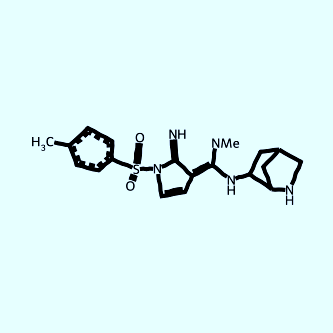 CN/C(NC1CC2CNC1C2)=C1/C=CN(S(=O)(=O)c2ccc(C)cc2)C1=N